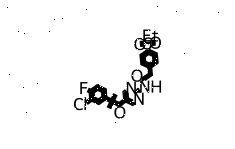 CCS(=O)(=O)c1ccc(CC(=O)Nc2ncc(C(=O)C(C)(C)c3ccc(F)c(Cl)c3)cn2)cc1